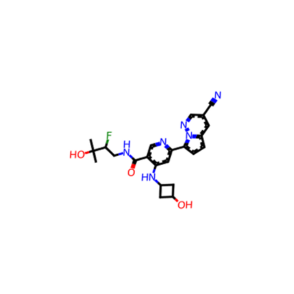 CC(C)(O)C(F)CNC(=O)c1cnc(-c2ccc3cc(C#N)cnn23)cc1NC1CC(O)C1